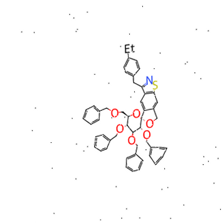 CCc1ccc(Cc2nsc3cc4c(cc23)[C@]2(OC4)O[C@H](COCc3ccccc3)[C@@H](OCc3ccccc3)[C@H](OCc3ccccc3)[C@H]2OCc2ccccc2)cc1